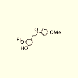 CCOc1cc(C=CC(=O)c2ccc(OC)cc2)ccc1O